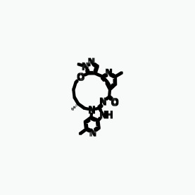 Cc1cc2c(cn1)N/C1=N\C(=O)c3cc(C)nc(c3)-c3cnn(C)c3OCCC[C@@H](C)CN12